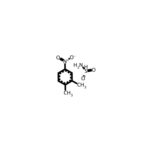 Cc1ccc([N+](=O)[O-])cc1C.N[SH](=O)=O